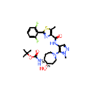 Cc1sc(-c2c(F)cccc2F)nc1C(=O)Nc1cnn(C)c1N1CC[C@H](O)[C@H](NC(=O)OC(C)(C)C)CC1